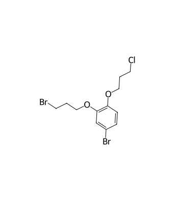 ClCCCOc1ccc(Br)cc1OCCCBr